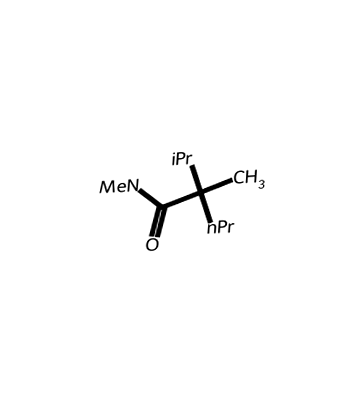 CCCC(C)(C(=O)NC)C(C)C